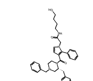 O=C(Cn1ccc(C(=O)N2CCN(Cc3ccccc3)C[C@H]2Cc2ccccc2)c1-c1ccccc1)NCCCCO